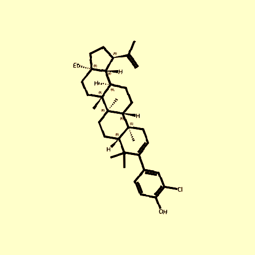 C=C(C)[C@@H]1CC[C@]2(CC)CC[C@]3(C)[C@H](CC[C@@H]4[C@@]5(C)CC=C(c6ccc(O)c(Cl)c6)C(C)(C)[C@@H]5CC[C@]43C)[C@@H]12